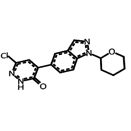 O=c1[nH]nc(Cl)cc1-c1ccc2c(cnn2C2CCCCO2)c1